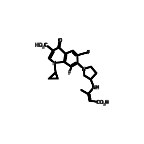 C/C(=C/C(=O)O)NC1CCN(c2c(F)cc3c(=O)c(C(=O)O)cn(C4CC4)c3c2F)C1